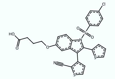 N#Cc1sccc1-c1c(-c2cccs2)n(S(=O)(=O)c2ccc(Cl)cc2)c2ccc(OCCCC(=O)O)cc12